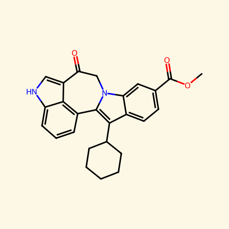 COC(=O)c1ccc2c(C3CCCCC3)c3n(c2c1)CC(=O)c1c[nH]c2cccc-3c12